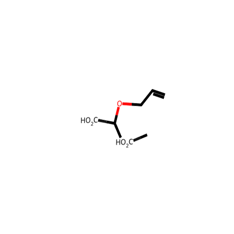 C=CCOC(C)C(=O)O.CC(=O)O